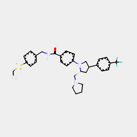 CCS(=O)(=O)c1ccc(CNC(=O)c2ccc(N3CC(c4ccc(C(F)(F)F)cc4)C[C@H]3CN3CCCC3)cc2)cc1